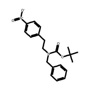 CC(C)(C)OC(=O)N(CCc1ccc([N+](=O)[O-])cc1)Cc1ccccc1